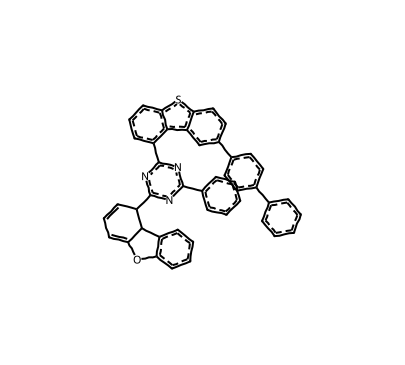 C1=CC(c2nc(-c3ccccc3)nc(-c3cccc4sc5ccc(-c6ccc(-c7ccccc7)cc6)cc5c34)n2)C2C(=C1)Oc1ccccc12